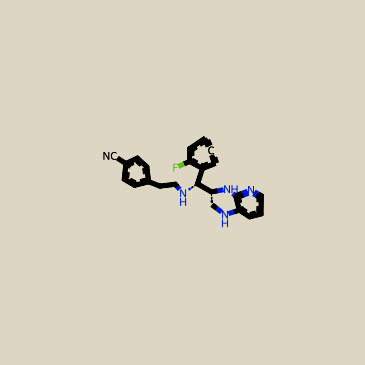 N#Cc1ccc(CCN[C@H](c2ccccc2F)[C@H]2CNc3cccnc3N2)cc1